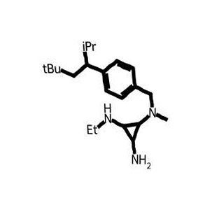 CCNC1C(N)C1N(C)Cc1ccc(C(CC(C)(C)C)C(C)C)cc1